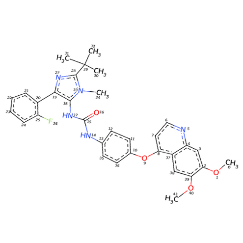 COc1cc2nccc(Oc3ccc(NC(=O)Nc4c(-c5ccccc5F)nc(C(C)(C)C)n4C)cc3)c2cc1OC